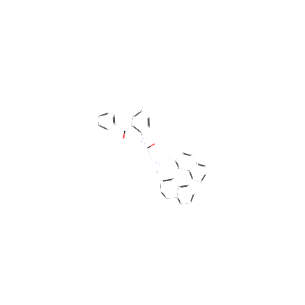 O=C(CN1Cc2ccc3ccccc3c2-c2c(ccc3ccccc23)C1)Nc1ccc(Cl)cc1C(=O)c1ccccc1Cl